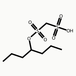 CCCC(CCC)OS(=O)(=O)CS(=O)(=O)O